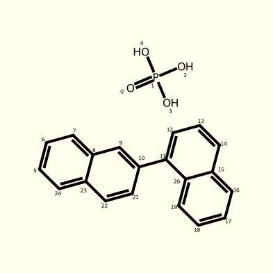 O=P(O)(O)O.c1ccc2cc(-c3cccc4ccccc34)ccc2c1